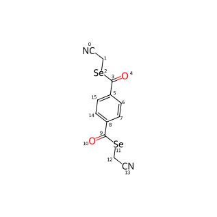 N#CC[Se]C(=O)c1ccc(C(=O)[Se]CC#N)cc1